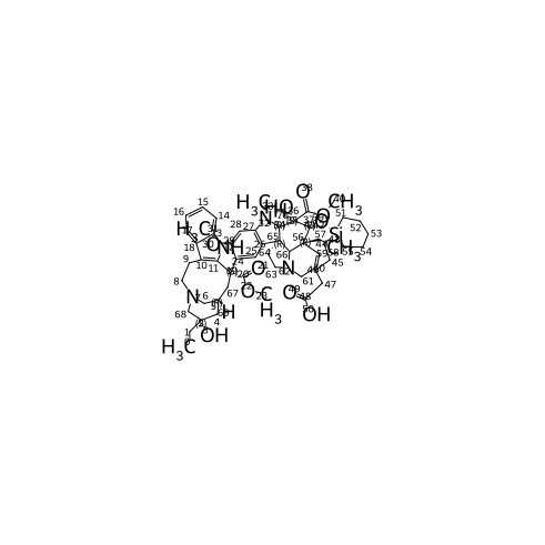 CC[C@]1(O)C[C@@H]2CN(CCc3c([nH]c4ccccc34)[C@@](C(=O)OC)(c3cc4c(cc3OC)N(C)[C@H]3[C@@](O)(C(=O)OC)[C@H](O[Si]5(CCCCC(=O)O)CCCCC5)[C@]5(CC)C=CCN6CC[C@]43C65)C2)C1